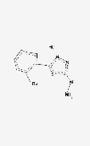 CC(C)(C)c1ccccc1-c1nnc(NN)s1.Cl